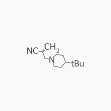 C=C(C#N)CN1CCC(C(C)(C)C)CC1